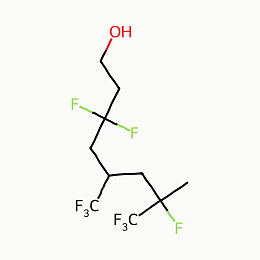 CC(F)(CC(CC(F)(F)CCO)C(F)(F)F)C(F)(F)F